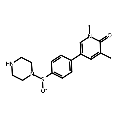 Cc1cc(-c2ccc([S+]([O-])N3CCNCC3)cc2)cn(C)c1=O